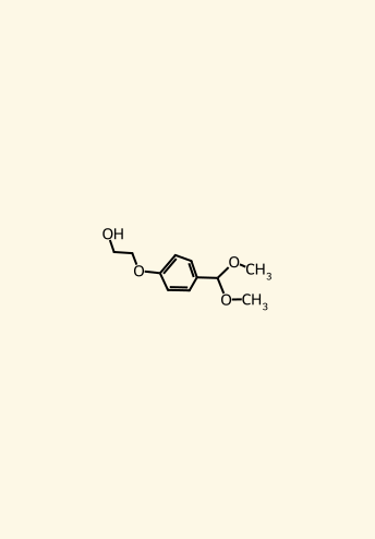 COC(OC)c1ccc(OCCO)cc1